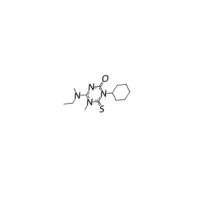 CCN(C)c1nc(=O)n(C2CCCCC2)c(=S)n1C